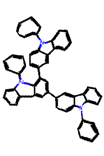 c1ccc(-n2c3ccccc3c3cc(-c4cc(-c5ccc6c(c5)c5ccccc5n6-c5ccccc5)c5c(c4)c4ccccc4n5-c4ccccc4)ccc32)cc1